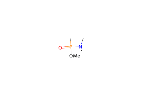 COP(C)(=O)N(C)C